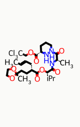 C/C=C/C[C@@H](CCC1(C)OCCO1)C(=O)O[C@H](C(=O)N[C@@H](C)C(=O)N1CCC[C@@H](C(=O)OCC(Cl)(Cl)Cl)N1)C(C)C